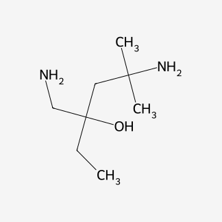 CCC(O)(CN)CC(C)(C)N